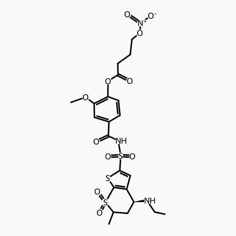 CCN[C@H]1CC(C)S(=O)(=O)c2sc(S(=O)(=O)NC(=O)c3ccc(OC(=O)CCCO[N+](=O)[O-])c(OC)c3)cc21